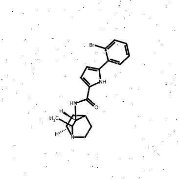 C[C@H]1[C@H](NC(=O)c2ccc(-c3ccccc3Br)[nH]2)C2CCN1CC2